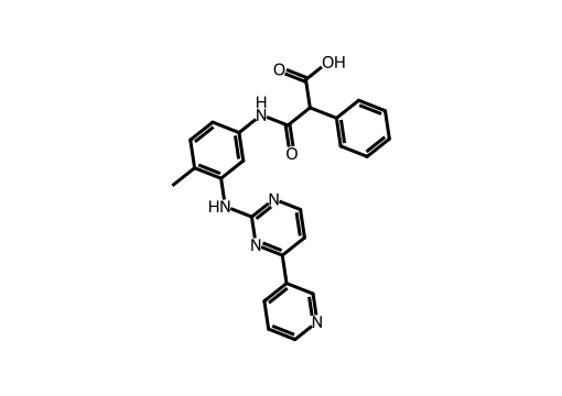 Cc1ccc(NC(=O)C(C(=O)O)c2ccccc2)cc1Nc1nccc(-c2cccnc2)n1